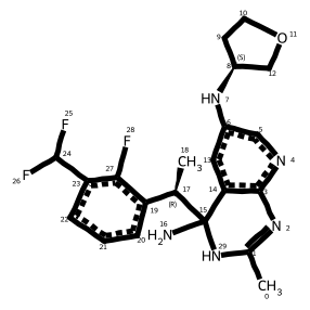 CC1=Nc2ncc(N[C@H]3CCOC3)cc2C(N)([C@H](C)c2cccc(C(F)F)c2F)N1